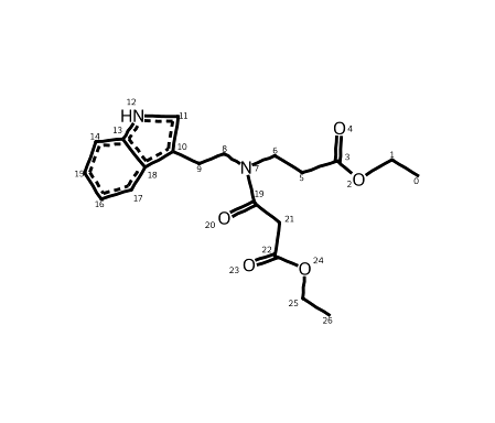 CCOC(=O)CCN(CCc1c[nH]c2ccccc12)C(=O)CC(=O)OCC